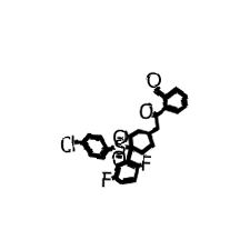 O=Cc1ccccc1C(=O)CC1CCC(c2cc(F)ccc2F)(S(=O)(=O)c2ccc(Cl)cc2)CC1